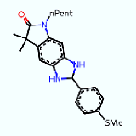 CCCCCN1C(=O)C(C)(C)c2cc3c(cc21)NC(c1ccc(SC)cc1)N3